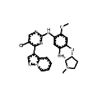 COc1cc(O[C@@H]2CCN(C)C2)c(N)cc1Nc1ncc(Cl)c(-c2cnn3ccccc23)n1